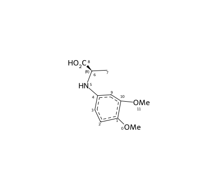 COc1ccc(N[C@H](C)C(=O)O)cc1OC